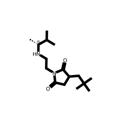 CC(C)[C@@H](C)NCCN1C(=O)CC(CC(C)(C)C)C1=O